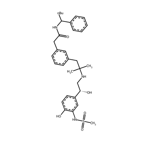 CCCCC(NC(=O)Cc1cccc(CC(C)(C)NC[C@H](O)c2ccc(O)c(NS(C)(=O)=O)c2)c1)c1ccccc1